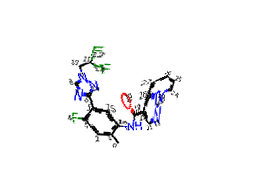 Cc1cc(F)c(-c2ncn(CC(F)F)n2)cc1NC(=O)c1cnn2ccccc12